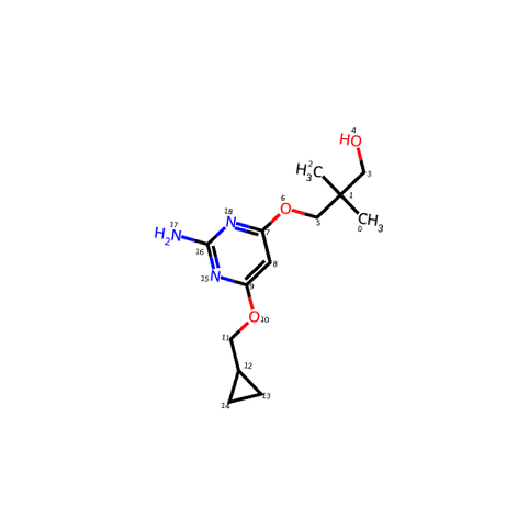 CC(C)(CO)COc1cc(OCC2CC2)nc(N)n1